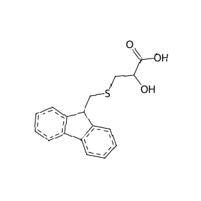 O=C(O)C(O)CSCC1c2ccccc2-c2ccccc21